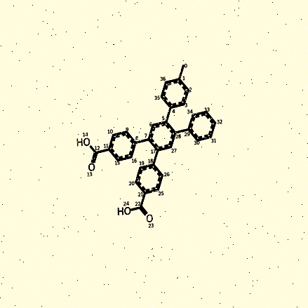 Cc1ccc(-c2cc(-c3ccc(C(=O)O)cc3)c(-c3ccc(C(=O)O)cc3)cc2-c2ccccc2)cc1